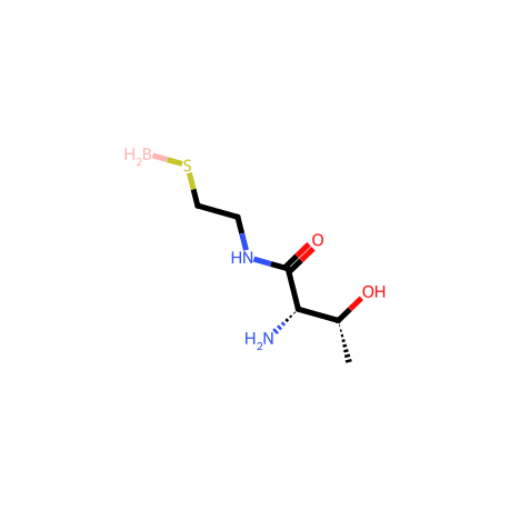 BSCCNC(=O)[C@@H](N)[C@@H](C)O